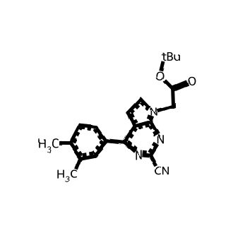 Cc1ccc(-c2nc(C#N)nc3c2ccn3CC(=O)OC(C)(C)C)cc1C